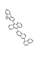 c1ccc2c(-c3ccc4cc(-c5c6ccccc6c(-c6ccc7c(c6)oc6ccccc67)c6ccccc56)ccc4c3)cccc2c1